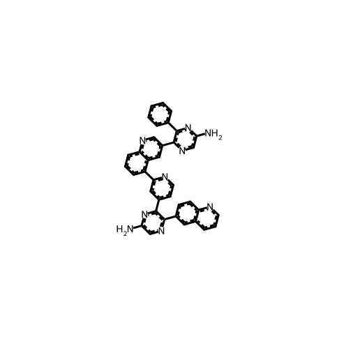 Nc1cnc(-c2cnc3cccc(-c4cc(-c5nc(N)cnc5-c5ccc6ncccc6c5)ccn4)c3c2)c(-c2ccccc2)n1